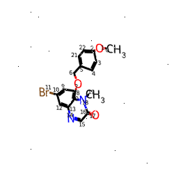 COc1ccc(COc2cc(Br)cc3ncc(=O)n(C)c23)cc1